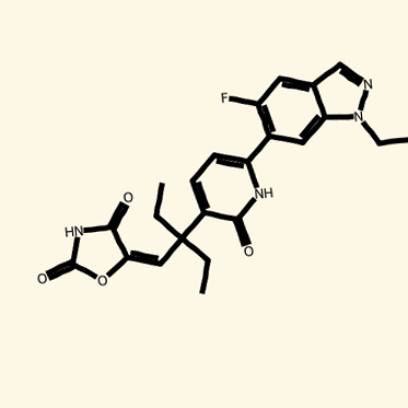 CCn1ncc2cc(F)c(-c3ccc(C(/C=C4/OC(=O)NC4=O)(CC)CC)c(=O)[nH]3)cc21